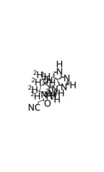 [2H]c1nc(N(C([2H])([2H])[2H])[C@@]2([2H])C([2H])([2H])N(C(=O)C[N+]#[C-])C([2H])([2H])C[C@@]2([2H])C([2H])([2H])[2H])c2cc[nH]c2n1